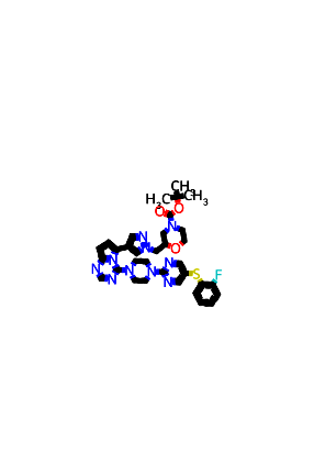 CC(C)(C)OC(=O)N1CCOC(Cn2cc(-c3ccc4ncnc(N5CCN(c6ncc(Sc7ccccc7F)cn6)CC5)n34)cn2)C1